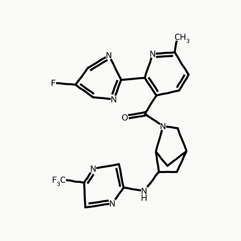 Cc1ccc(C(=O)N2CC3CC(Nc4cnc(C(F)(F)F)cn4)C2C3)c(-c2ncc(F)cn2)n1